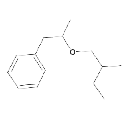 CCC(C)COC(C)Cc1ccccc1